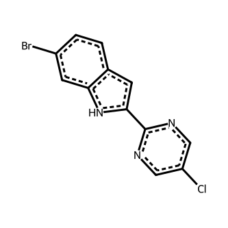 Clc1cnc(-c2cc3ccc(Br)cc3[nH]2)nc1